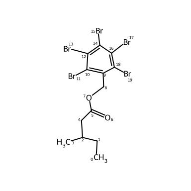 CCC(C)CC(=O)OCc1c(Br)c(Br)c(Br)c(Br)c1Br